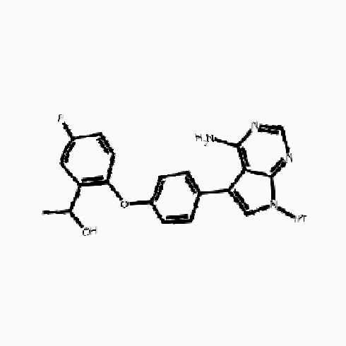 CC(O)c1cc(F)ccc1Oc1ccc(-c2cn(C(C)C)c3ncnc(N)c23)cc1